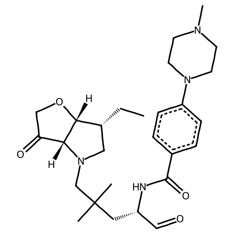 CC[C@@H]1CN(CC(C)(C)C[C@@H](C=O)NC(=O)c2ccc(N3CCN(C)CC3)cc2)[C@@H]2C(=O)CO[C@H]12